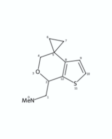 CNCC1OCC2(CC2)c2ccsc21